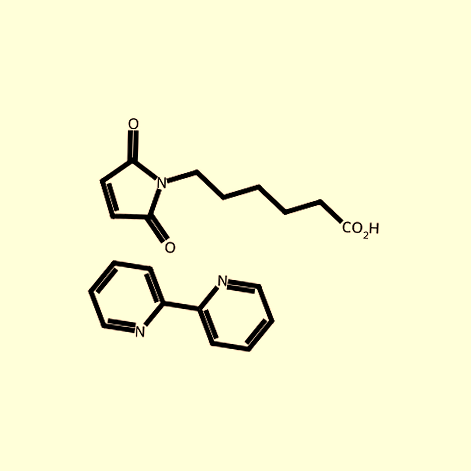 O=C(O)CCCCCN1C(=O)C=CC1=O.c1ccc(-c2ccccn2)nc1